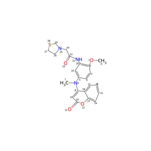 COc1ccc(N(C)c2cc(=O)oc3ccccc23)cc1NC(=O)CN1CCSC1